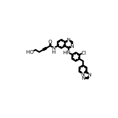 O=C(C#CCCO)Nc1ccc2ncnc(Nc3ccc(Cc4ccn5ncnc5c4)c(Cl)c3)c2c1